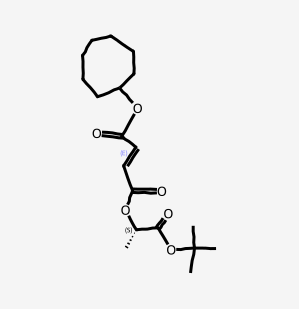 C[C@H](OC(=O)/C=C/C(=O)OC1CCCCCCC1)C(=O)OC(C)(C)C